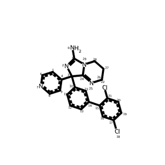 NC1=NC(c2ccncc2)(c2cccc(-c3cc(Cl)ccc3Cl)c2)C2=NCCCN12